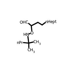 CCCCCCCCCC(C=O)ONC(C)(C)CCC